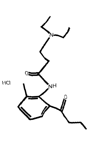 CCCC(=O)c1cccc(C)c1NC(=O)CCN(CC)CC.Cl